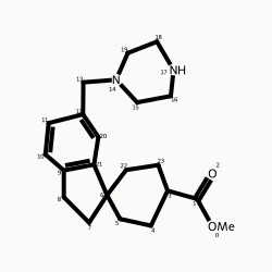 COC(=O)C1CCC2(CCc3ccc(CN4CCNCC4)cc32)CC1